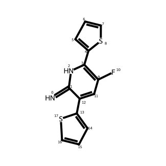 N=c1[nH]c(-c2cccs2)c(F)cc1-c1cccs1